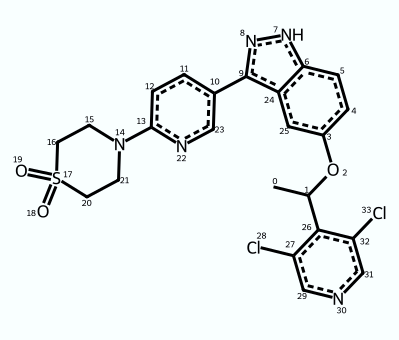 CC(Oc1ccc2[nH]nc(-c3ccc(N4CCS(=O)(=O)CC4)nc3)c2c1)c1c(Cl)cncc1Cl